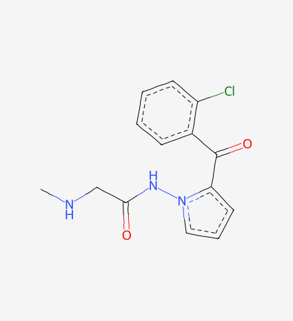 CNCC(=O)Nn1cccc1C(=O)c1ccccc1Cl